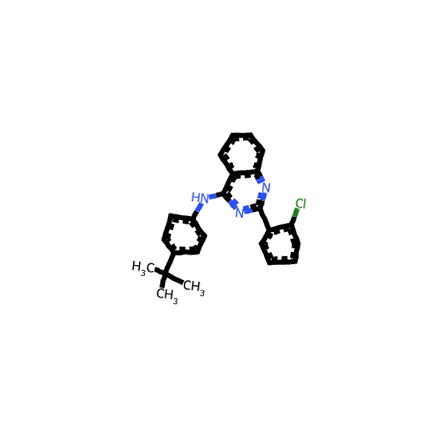 CC(C)(C)c1ccc(Nc2nc(-c3ccccc3Cl)nc3ccccc23)cc1